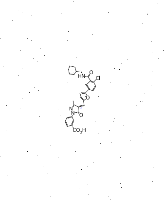 CC1=NN(c2cccc(C(=O)O)c2)C(=O)/C1=C/c1ccc(-c2ccc(Cl)c(C(=O)NCC3CCCCC3)c2)o1